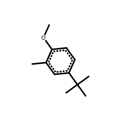 COc1[c]cc(C(C)(C)C)cc1C